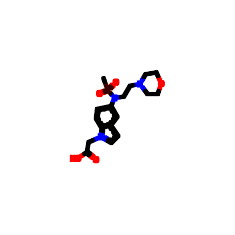 CS(=O)(=O)N(CCN1CCOCC1)c1ccc2c(ccn2CC(=O)O)c1